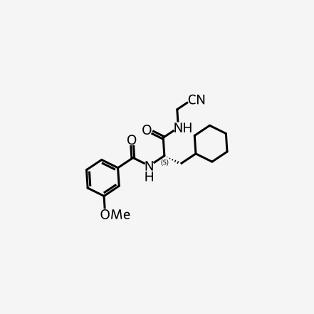 COc1cccc(C(=O)N[C@@H](CC2CCCCC2)C(=O)NCC#N)c1